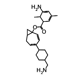 CC1=CC(C(=O)OC23C=CC(C4CCC(CN)CC4)=CCC2C3)C(C)C(N)=C1